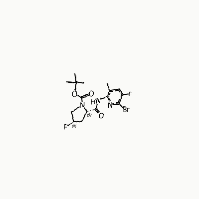 Cc1cc(F)c(Br)nc1NC(=O)[C@@H]1C[C@@H](F)CN1C(=O)OC(C)(C)C